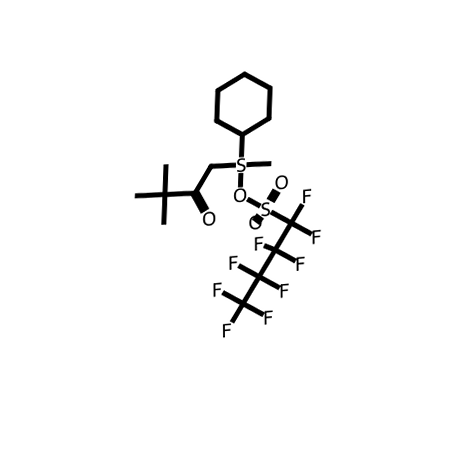 CC(C)(C)C(=O)CS(C)(OS(=O)(=O)C(F)(F)C(F)(F)C(F)(F)C(F)(F)F)C1CCCCC1